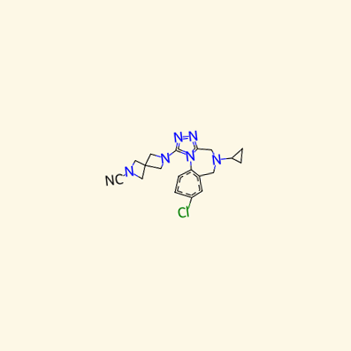 N#CN1CC2(C1)CN(c1nnc3n1-c1ccc(Cl)cc1CN(C1CC1)C3)C2